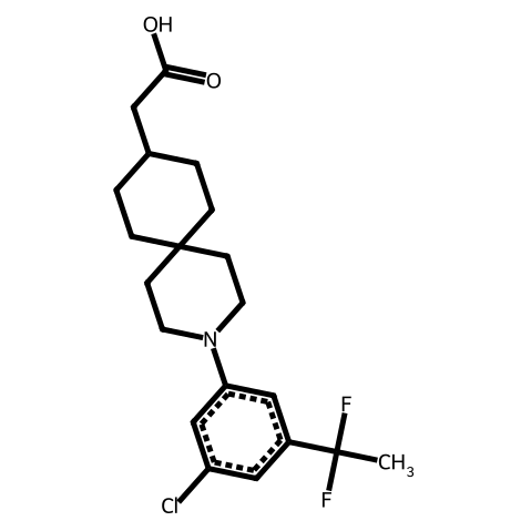 CC(F)(F)c1cc(Cl)cc(N2CCC3(CCC(CC(=O)O)CC3)CC2)c1